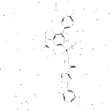 C[C@]1(C(N)=O)COc2c1cc([C@@](O)(CNC(=O)c1cnn(-c3ccccc3F)c1)C(F)(F)F)nc2-c1ccc(F)cc1